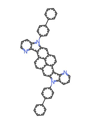 c1ccc(-c2ccc(-n3c4cccnc4c4c5ccc6cc7c(c8ccc(cc43)c5c68)c3ncccc3n7-c3ccc(-c4ccccc4)cc3)cc2)cc1